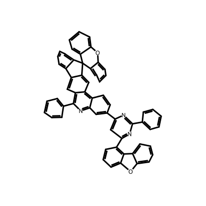 c1ccc(-c2nc(-c3ccc4c(c3)nc(-c3ccccc3)c3cc5c(cc34)C3(c4ccccc4Oc4ccccc43)c3ccccc3-5)cc(-c3cccc4oc5ccccc5c34)n2)cc1